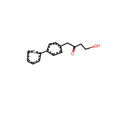 O=C(CCO)Cc1ccc(-c2ccccc2)cc1